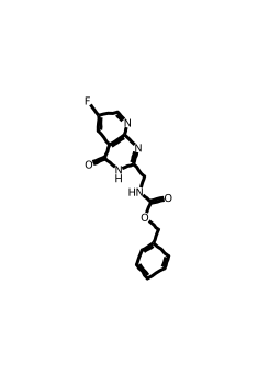 O=C(NCc1nc2ncc(F)cc2c(=O)[nH]1)OCc1ccccc1